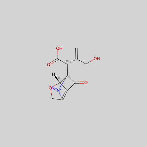 C=C(CO)[C@@H](C(=O)O)C12C(=O)C3=C(CO[C@@H]31)[N+]2=[N-]